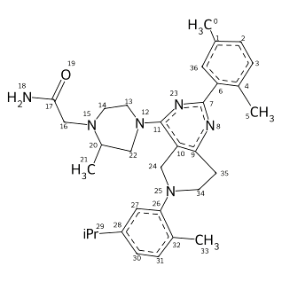 Cc1ccc(C)c(-c2nc3c(c(N4CCN(CC(N)=O)C(C)C4)n2)CN(c2cc(C(C)C)ccc2C)CC3)c1